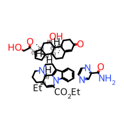 CCOC(=O)C1=C[C@]2(CC)CCCN3CCc4c(n1c1ccccc41)[C@@H]32.C[C@]12C[C@H](O)[C@H]3[C@@H](CCC4=CC(=O)CC[C@@]43C)[C@@H]1CC[C@@H]2C(=O)CO.NC(=O)c1cnccn1